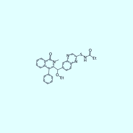 CCOC(c1ccc2nc(SNC(=O)CC)cnc2c1)c1c(-c2ccccc2)c2ccccc2c(=O)n1C